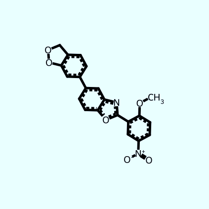 COc1ccc([N+](=O)[O-])cc1-c1nc2cc(-c3ccc4c(c3)OOC4)ccc2o1